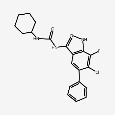 O=C(Nc1n[nH]c2c(F)c(Cl)c(-c3ccccc3)cc12)NC1CCCCC1